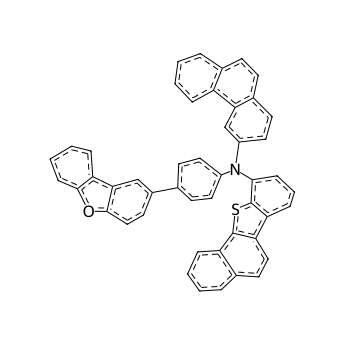 c1ccc2c(c1)ccc1ccc(N(c3ccc(-c4ccc5oc6ccccc6c5c4)cc3)c3cccc4c3sc3c5ccccc5ccc43)cc12